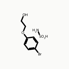 NS(=O)(=O)O.OCCOc1ccc(Br)cc1